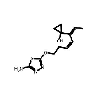 C/C=C(\C=C/CCOc1nnc(N)s1)C1(C#N)CC1